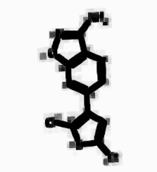 CCc1cc(-c2ccc3c(N)noc3c2)c(Cl)s1